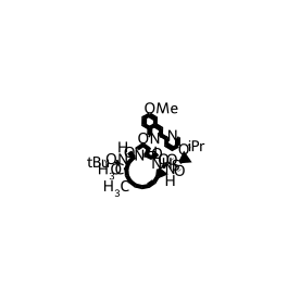 COc1ccc2c(O[C@@H]3C[C@H]4C(=O)N[C@]5(C(=O)NS(=O)(=O)C6CC6)CC5/C=C\CC[C@H](C)C[C@@H](C)[C@H](NC(=O)OC(C)(C)C)C(=O)N4C3)nc(-c3ccc(OC(C)C)cn3)cc2c1